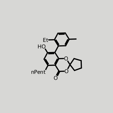 CCCCCc1cc(O)c(-c2cc(C)ccc2CC)c2c1C(=O)OC1(CCCC1)O2